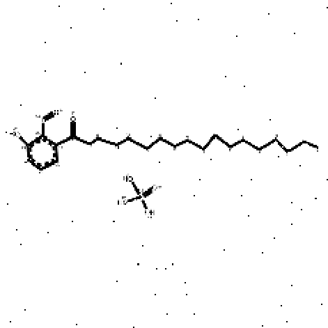 CCCCCCCCCCCCCCCCCC(=O)c1cccc(O)c1I=O.O=P(O)(O)O